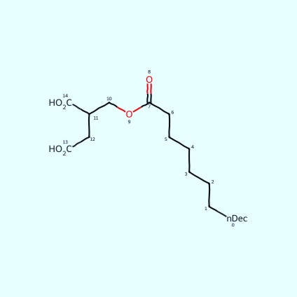 CCCCCCCCCCCCCCCCC(=O)OCC(CC(=O)O)C(=O)O